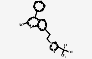 CC[C@](O)(c1cn(CCc2ccc3c(-c4ccccc4)cc(C#N)nc3c2)nn1)C(F)(F)F